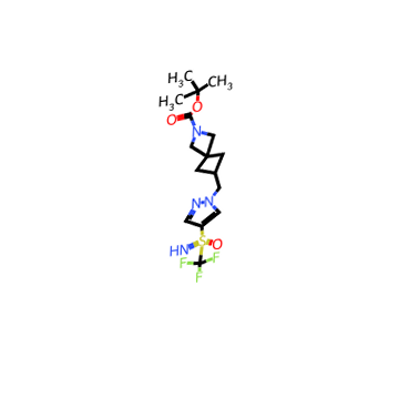 CC(C)(C)OC(=O)N1CC2(CC(Cn3cc(S(=N)(=O)C(F)(F)F)cn3)C2)C1